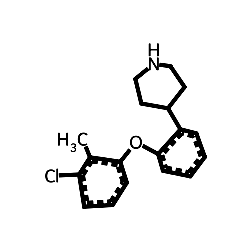 Cc1c(Cl)cccc1Oc1ccccc1C1CCNCC1